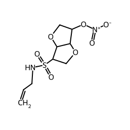 C=CCNS(=O)(=O)C1COC2C(O[N+](=O)[O-])COC21